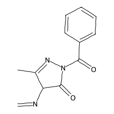 C=NC1C(=O)N(C(=O)c2ccccc2)N=C1C